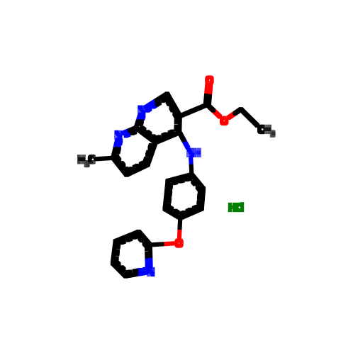 CCOC(=O)c1cnc2nc(C)ccc2c1Nc1ccc(Oc2ccccn2)cc1.Cl